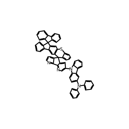 c1ccc(N(c2ccccc2)c2ccc3c(c2)c2ccccc2n3-c2cnc3c(c2)C2(c4ccccc4Sc4cc5c(cc42)-c2ccccc2C52c4ccccc4-c4ccccc42)c2cccnc2-3)cc1